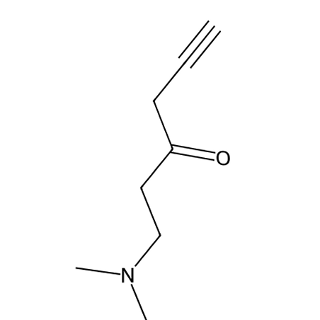 C#CCC(=O)CCN(C)C